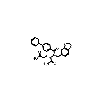 NC(=O)[C@H](CCC(=O)O)N(Cc1ccc2c(c1)OCO2)C(=O)c1ccc(-c2ccccc2)cc1